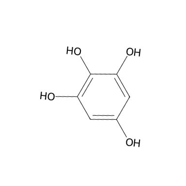 Oc1cc(O)c(O)c(O)c1